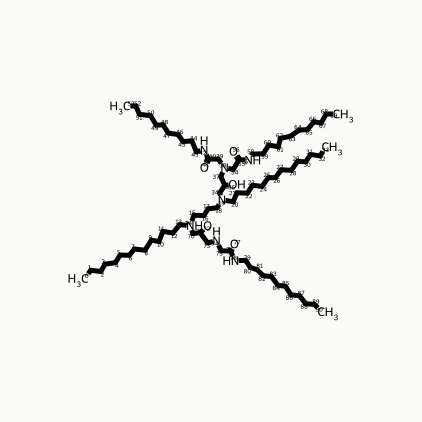 CCCCCCCCCCCCCCN(CCCCN(CCCCCCCCCCCCCC)CC(O)CN(CC(=O)NCCCCCCCCCCC)CC(=O)NCCCCCCCCCCCC)CC(O)CNCC(=O)NCCCCCCCCCCCC